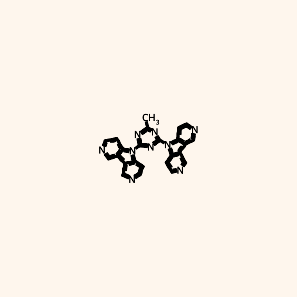 Cc1nc(-n2c3ccncc3c3cnccc32)nc(-n2c3ccncc3c3cnccc32)n1